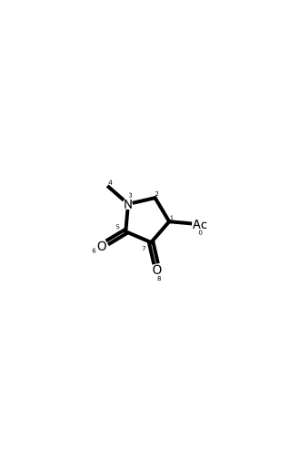 CC(=O)C1CN(C)C(=O)C1=O